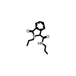 CCCNC(=O)C1c2ccccc2C(=O)N1CCC